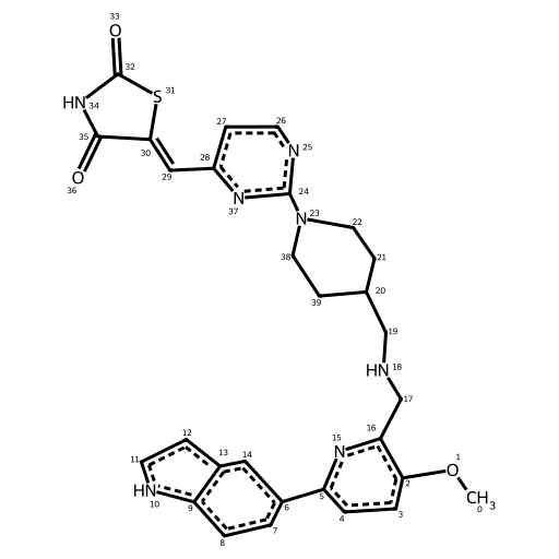 COc1ccc(-c2ccc3[nH]ccc3c2)nc1CNCC1CCN(c2nccc(/C=C3\SC(=O)NC3=O)n2)CC1